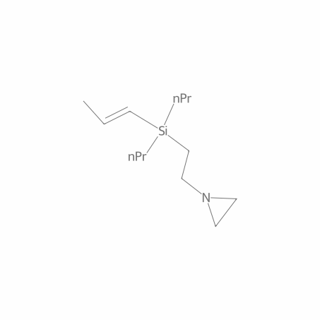 CC=C[Si](CCC)(CCC)CCN1CC1